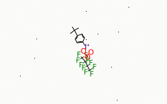 CC(C)(C)c1ccc([I+]OS(=O)(=O)C(F)(F)C(F)(F)C(F)(F)C(F)(F)F)cc1